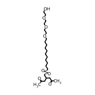 CC(=O)CC(CC(C)=O)CS(=O)(=O)CCCCCCCCCCCOCCOCCOCCO